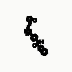 O=C1CCCN1CCn1cc(-c2ccc(NC(=O)N3Cc4ccccc4C3)cc2)nn1